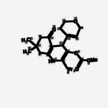 COC(=O)OC1=C(C(C)C)NC2=C(C(=O)CC(C)(C)C2)C1C1=CCOCC1